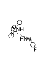 O=C(NC(CCCCN[C@@H]1C[C@H]1c1ccc(F)cc1)C(=O)N1CCCCC1)c1ccccc1